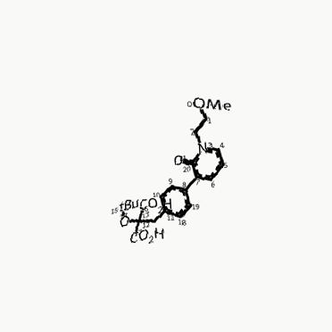 COCCn1cccc(-c2ccc(CC(OC(C)(C)C)(C(=O)O)C(=O)O)cc2)c1=O